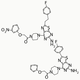 Nc1nc(N2CCN(C(=O)COc3cccc([N+](=O)[O-])c3)CC2)c2nc(CCc3ccc(F)cc3)sc2n1.Nc1nc(N2CCN(C(=O)COc3ccccc3)CC2)c2nc(-c3ccc(F)cc3)sc2n1